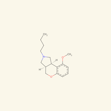 [CH2]CCCN1C[C@@H]2COc3cccc(OC)c3[C@@H]2C1